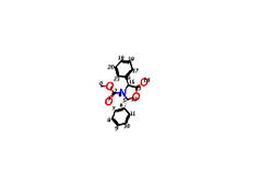 COC(=O)N1[C@@H](c2ccccc2)OC(=O)[C@@H]1c1ccccc1